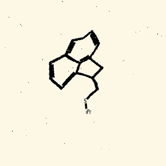 CC(C)SCC1Cc2cccc3cccc1c23